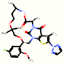 COc1ccc(F)cc1[C@H](Cn1c(=O)n([C@H](C)C(=O)O)c(=O)c2c(C)c(-n3nccn3)sc21)OCC(C)(C)OCCC(C)N